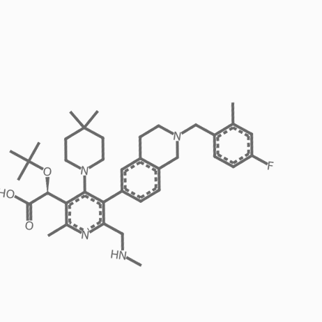 CNCc1nc(C)c([C@H](OC(C)(C)C)C(=O)O)c(N2CCC(C)(C)CC2)c1-c1ccc2c(c1)CCN(Cc1ccc(F)cc1C)C2